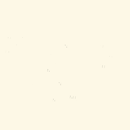 CC(C)(O)C#Cc1cc2c(cn1)c(CCC(C)(C)O)cn2-c1nc(N)nc2ccsc12